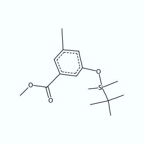 COC(=O)c1cc(C)cc(O[Si](C)(C)C(C)(C)C)c1